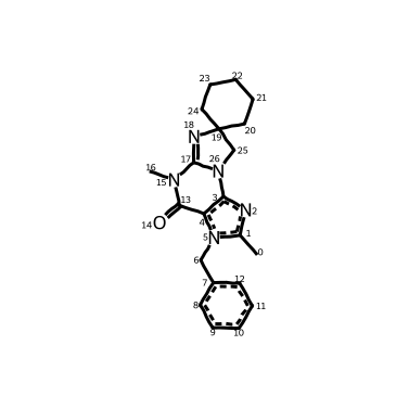 Cc1nc2c(n1Cc1ccccc1)C(=O)N(C)C1=NC3(CCCCC3)CN12